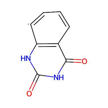 O=c1[nH]c(=O)c2ccc[c]c2[nH]1